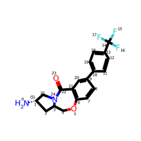 N[C@H]1CC2COc3ccc(-c4ccc(C(F)(F)F)cc4)cc3C(=O)N2C1